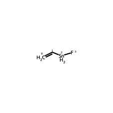 C=[CH][SnH2][F]